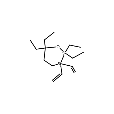 C=C[Si]1(C=C)CCC(CC)(CC)O[Si]1(CC)CC